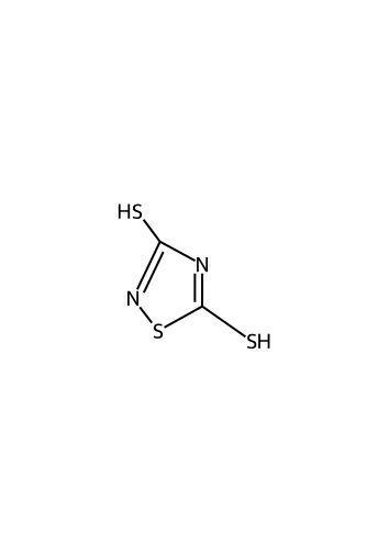 Sc1nsc(S)n1